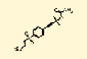 CC(C)(C)CCS(=O)(=O)c1ccc(C#CC(C)(C)OC(N)=O)cc1